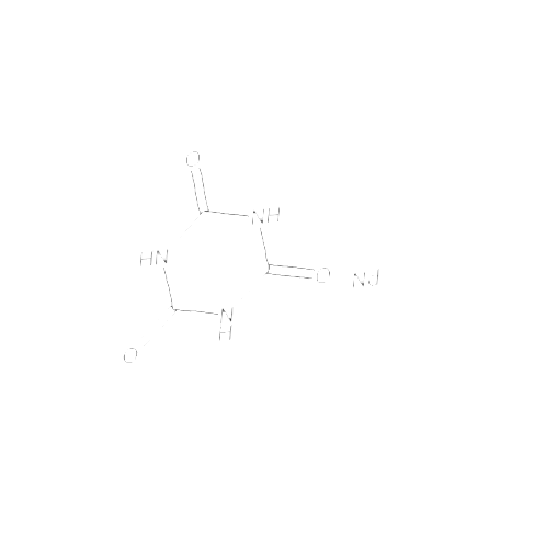 O=c1[nH]c(=O)[nH]c(=O)[nH]1.[Nd]